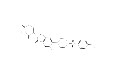 COc1ccc(S(=O)(=O)N2CCC(c3cc4c(cc3F)C(=O)N(C3CCC(=O)NC3=O)C4)CC2)cc1